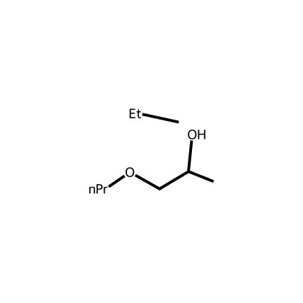 CCC.CCCOCC(C)O